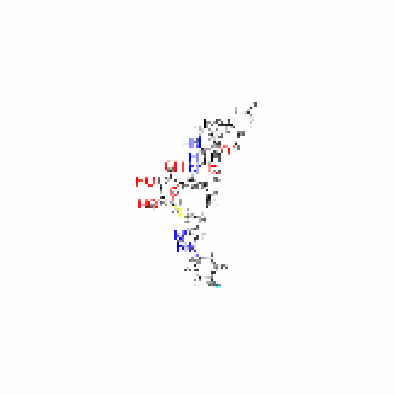 CC(C)C[C@@H]1CCO[C@@H]2[C@H](CN[C@@H]2C(=O)N[C@H]2C3OC(S[C@H](c4cn(-c5ccc(F)cc5)nn4)C/C=C\[C@H]2C)C(O)C(O)C3O)C1